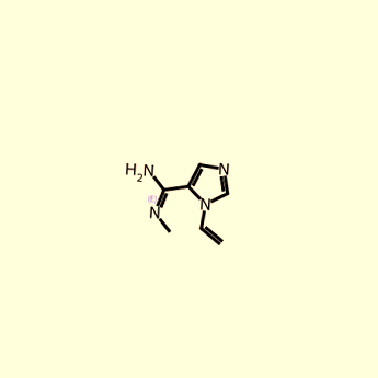 C=Cn1cncc1/C(N)=N\C